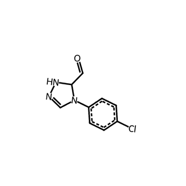 O=CC1NN=CN1c1ccc(Cl)cc1